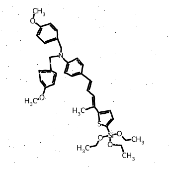 CCO[Si](OCC)(OCC)c1ccc(/C(C)=C/C=C/c2ccc(N(Cc3ccc(OC)cc3)Cc3ccc(OC)cc3)cc2)s1